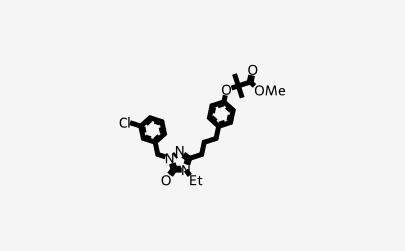 CCn1c(CCCc2ccc(OC(C)(C)C(=O)OC)cc2)nn(Cc2cccc(Cl)c2)c1=O